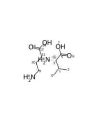 CC(C)[C@H](N)C(=O)O.NCCCC(=O)O